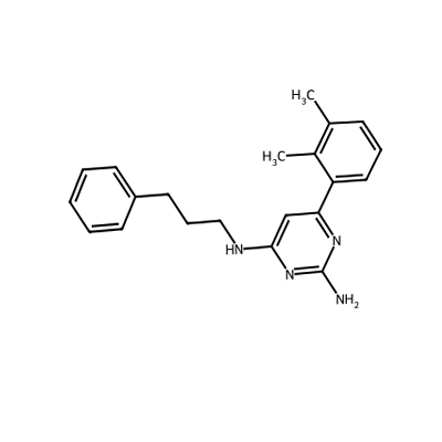 Cc1cccc(-c2cc(NCCCc3ccccc3)nc(N)n2)c1C